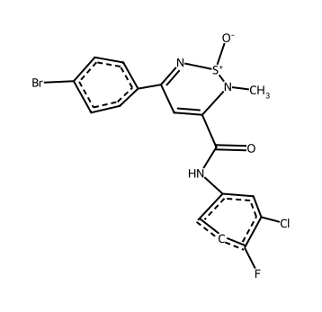 CN1C(C(=O)Nc2ccc(F)c(Cl)c2)=CC(c2ccc(Br)cc2)=N[S+]1[O-]